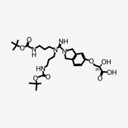 CC(C)(C)OC(=O)NCCCN(CCCNC(=O)OC(C)(C)C)C(=N)N1Cc2ccc(OC[C@@H](O)C(=O)O)cc2C1